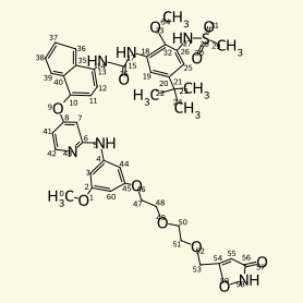 COc1cc(Nc2cc(Oc3ccc(NC(=O)Nc4cc(C(C)(C)C)cc(NS(C)(=O)=O)c4OC)c4ccccc34)ccn2)cc(OCCOCCOCc2cc(=O)[nH]o2)c1